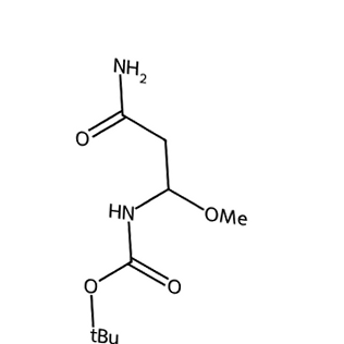 COC(CC(N)=O)NC(=O)OC(C)(C)C